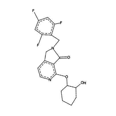 O=C1c2c(ccnc2OC2CCCCC2O)CN1Cc1c(F)cc(F)cc1F